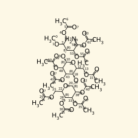 COC(COC(C)=O)[C@@H](O[C@H]1OC(COC(C)=O)[C@@H](O[C@H]2OC(COC(C)=O)[C@@H](OC(C)=O)C(OC(C)=O)C2OC(C)=O)C(OC(C)=O)C1OC(C)=O)C(OC(C)=O)[C@@H](N)OC(C)=O